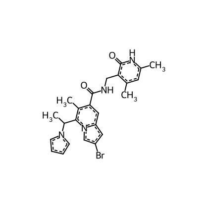 Cc1cc(C)c(CNC(=O)c2cc3cc(Br)cn3c(C(C)n3cccc3)c2C)c(=O)[nH]1